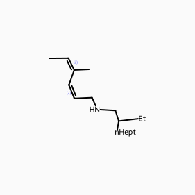 C/C=C(C)\C=C/CNCC(CC)CCCCCCC